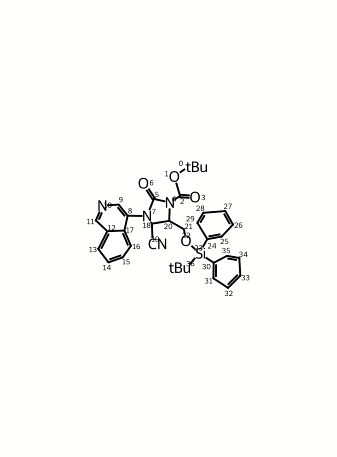 CC(C)(C)OC(=O)N1C(=O)N(c2cncc3ccccc23)C(C#N)C1CO[Si](c1ccccc1)(c1ccccc1)C(C)(C)C